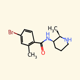 Cc1cc(Br)ccc1C(=O)N[C@@H]1CCCN[C@@H]1C